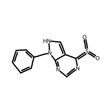 O=S(=O)=c1ncnc2n(-c3ccccc3)[nH]cc1-2